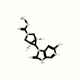 CC(C)(C)OC(=O)N1C[C@@H]2C(n3c(=O)[nH]c4cnc(Cl)cc43)[C@@H]2C1